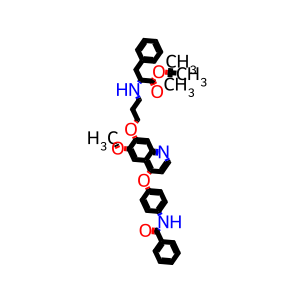 COc1cc2c(Oc3ccc(NC(=O)c4ccccc4)cc3)ccnc2cc1OCCCNC(Cc1ccccc1)C(=O)OC(C)(C)C